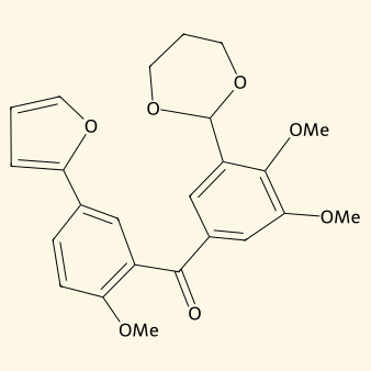 COc1ccc(-c2ccco2)cc1C(=O)c1cc(OC)c(OC)c(C2OCCCO2)c1